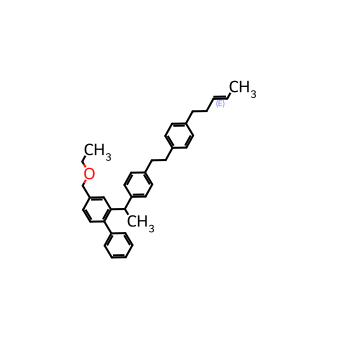 C/C=C/CCc1ccc(CCc2ccc(C(C)c3cc(COCC)ccc3-c3ccccc3)cc2)cc1